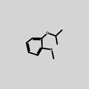 CSc1ccccc1OC(C)C